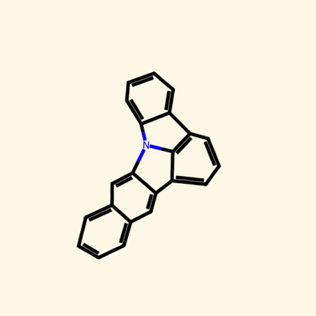 c1ccc2cc3c(cc2c1)c1cccc2c4ccccc4n3c21